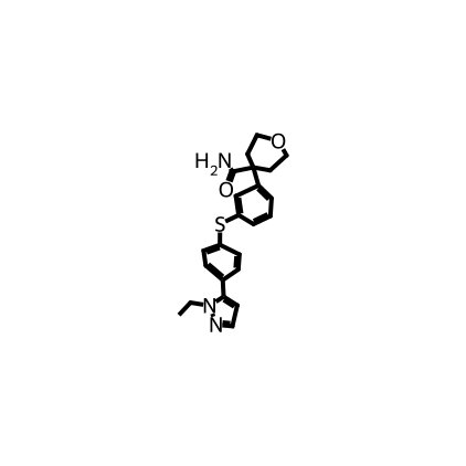 CCn1nccc1-c1ccc(Sc2cccc(C3(C(N)=O)CCOCC3)c2)cc1